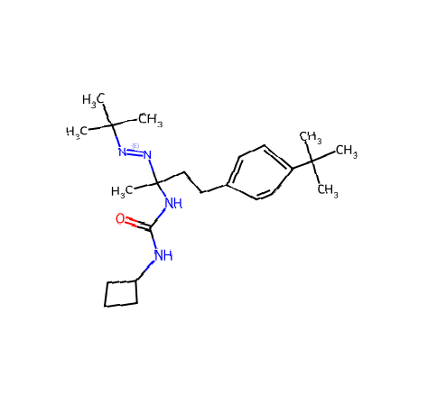 CC(C)(C)/N=N/C(C)(CCc1ccc(C(C)(C)C)cc1)NC(=O)NC1CCC1